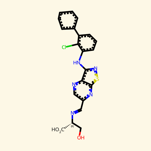 O=C(O)[C@@H](CO)N=Cc1cnc2c(Nc3cccc(-c4ccccc4)c3Cl)nsc2n1